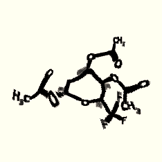 CC(=O)O[C@@H]1C[C@@H](OC(C)=O)[C@@H](OC(C)=O)[C@@H](C(F)(F)F)O1